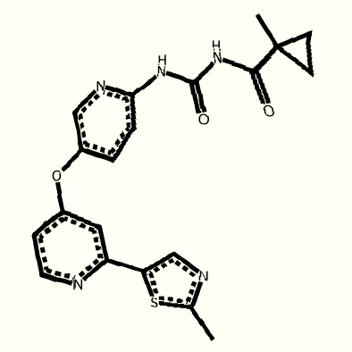 Cc1ncc(-c2cc(Oc3ccc(NC(=O)NC(=O)C4(C)CC4)nc3)ccn2)s1